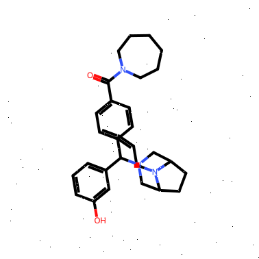 C=CCN1C2CCC1CN(C(c1ccc(C(=O)N3CCCCCC3)cc1)c1cccc(O)c1)C2